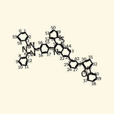 c1ccc(-c2nc(-c3ccccc3)nc(-c3ccc(-c4nc5cc(-c6cccc(-c7cccc8c7oc7ccccc78)c6)ccc5c5sc6ccccc6c45)cc3)n2)cc1